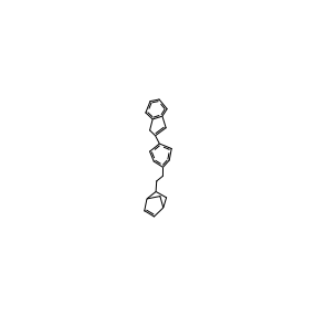 C1=CC2CC1CC2CCc1ccc(C2=Cc3ccccc3C2)cc1